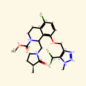 C[C@H]1CCN(CC2c3c(OCc4nnn(C)c4C(F)F)ccc(Cl)c3CCN2C(=O)OC(C)(C)C)C1=O